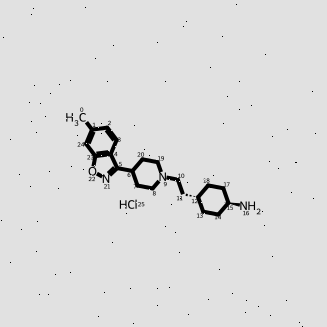 Cc1ccc2c(C3CCN(CC[C@H]4CC[C@H](N)CC4)CC3)noc2c1.Cl